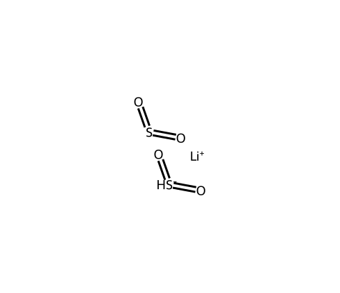 O=S=O.O=[SH-]=O.[Li+]